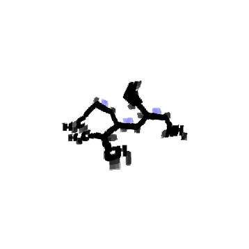 C\C=C/C(=C\C(C#N)=C/N)C(C)C